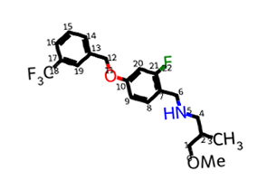 COCC(C)CNCc1ccc(OCc2cccc(C(F)(F)F)c2)cc1F